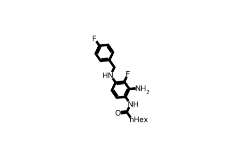 CCCCCCC(=O)Nc1ccc(NCc2ccc(F)cc2)c(F)c1N